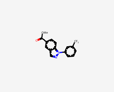 COC(=O)c1ccc2c(cnn2-c2cccc(C(F)(F)F)c2)c1